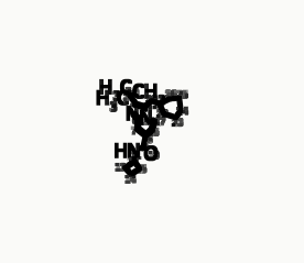 CC(C)(C)c1nc2cc(C(=O)NC3CCC3)ccn2c1CC1CCCCC1